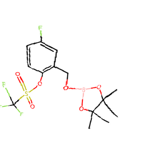 CC1(C)OB(OCc2cc(F)ccc2OS(=O)(=O)C(F)(F)F)OC1(C)C